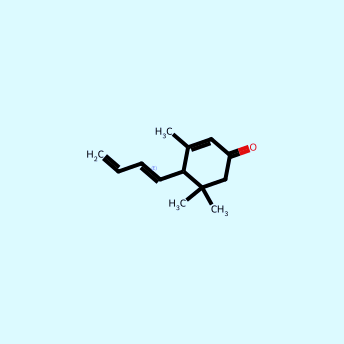 C=C/C=C/C1C(C)=CC(=O)CC1(C)C